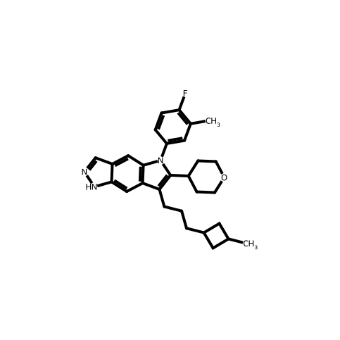 Cc1cc(-n2c(C3CCOCC3)c(CCCC3CC(C)C3)c3cc4[nH]ncc4cc32)ccc1F